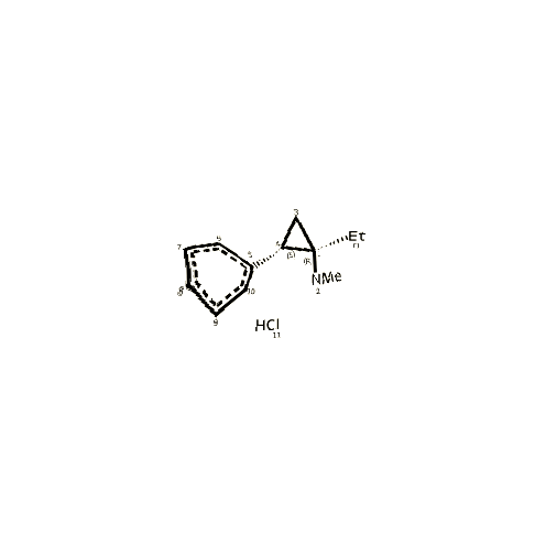 CC[C@@]1(NC)C[C@H]1c1ccccc1.Cl